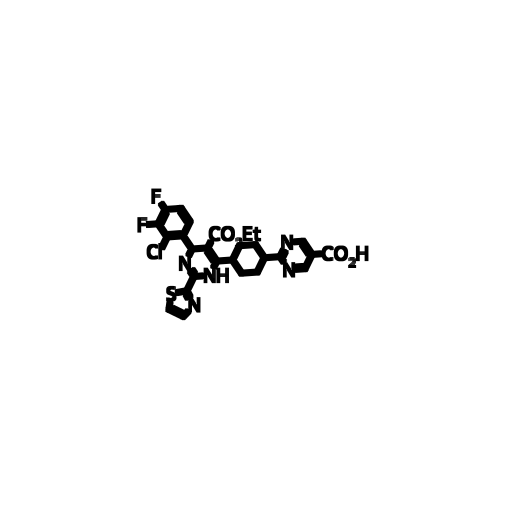 CCOC(=O)C1=C(C2CCC(c3ncc(C(=O)O)cn3)CC2)NC(c2nccs2)=NC1c1ccc(F)c(F)c1Cl